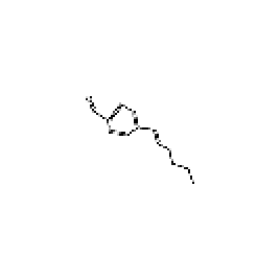 CCCCC=Cc1ccc(C=O)cc1